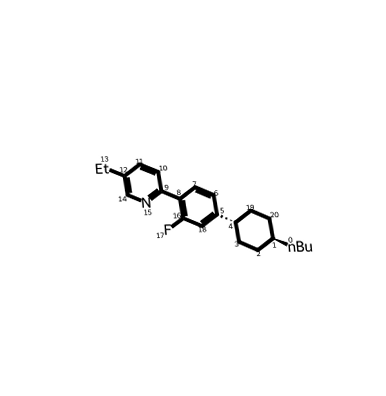 CCCC[C@H]1CC[C@H](c2ccc(-c3ccc(CC)cn3)c(F)c2)CC1